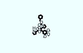 COc1cc([C@H](OC(=O)C2CCCN2)C(=O)C2CCCN2C(=O)OCc2ccccc2)cc(OC)c1OC